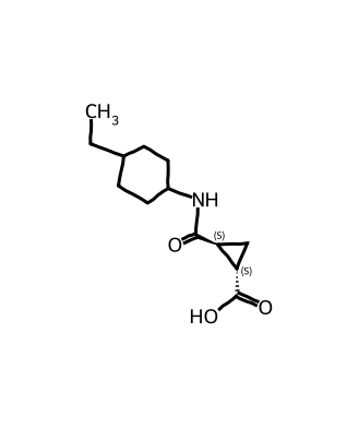 CCC1CCC(NC(=O)[C@H]2C[C@@H]2C(=O)O)CC1